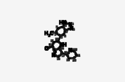 Cc1cc2[nH]nnc2cc1-c1cc(=O)n2ncc(-c3ccccn3)c2[nH]1